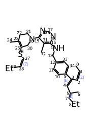 C\C=C/C(=C\C(C)=C\CC)c1ccc(CNc2ncnc(N3CCC(C)=C(S/C=C\CC)C3)c2C)cc1